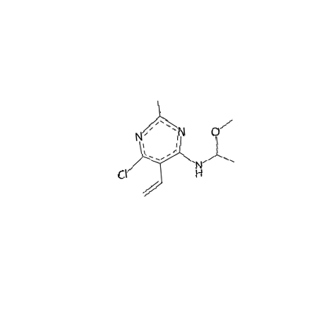 C=Cc1c(Cl)nc(C)nc1NC(C)OC